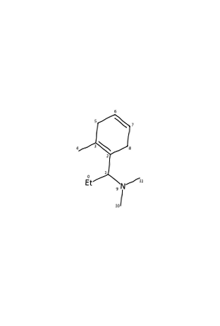 CCC(C1=C(C)CC=CC1)N(C)C